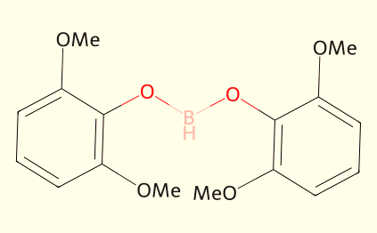 COc1cccc(OC)c1OBOc1c(OC)cccc1OC